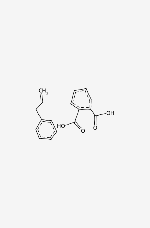 C=CCc1ccccc1.O=C(O)c1ccccc1C(=O)O